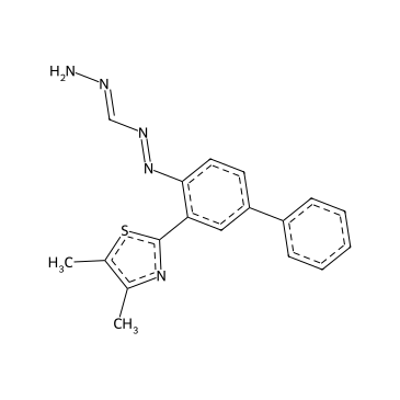 Cc1nc(-c2cc(-c3ccccc3)ccc2N=NC=NN)sc1C